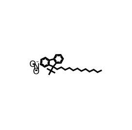 CCCCCCCCCCCCC1(C(C)(C)C)c2ccccc2-c2ccc([N+](=O)[O-])cc21